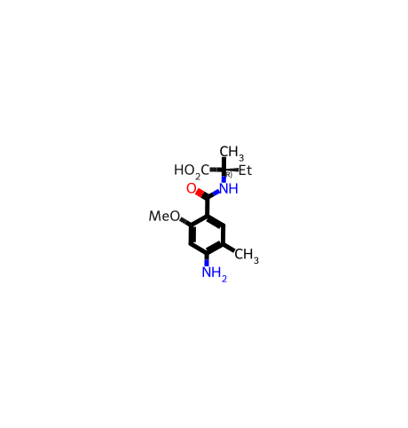 CC[C@@](C)(NC(=O)c1cc(C)c(N)cc1OC)C(=O)O